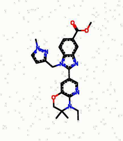 CCN1c2ncc(-c3nc4cc(C(=O)OC)ccc4n3Cc3ccn(C)n3)cc2OCC1(C)C